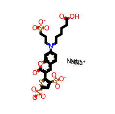 O=C(O)CCCCCN(CCCS(=O)(=O)[O-])c1ccc2cc(-c3sc(S(=O)(=O)[O-])cc3S(=O)(=O)[O-])c(=O)oc2c1.[Na+].[Na+].[Na+]